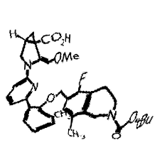 CO/C=C1/N(c2cccc(-c3cccc(C)c3OCc3cc(C)c4c(c3F)CCN(C(=O)OC(C)(C)C)C4)n2)C[C@@H]2C[C@]12C(=O)O